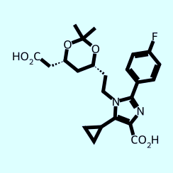 CC1(C)O[C@H](CCn2c(-c3ccc(F)cc3)nc(C(=O)O)c2C2CC2)C[C@H](CC(=O)O)O1